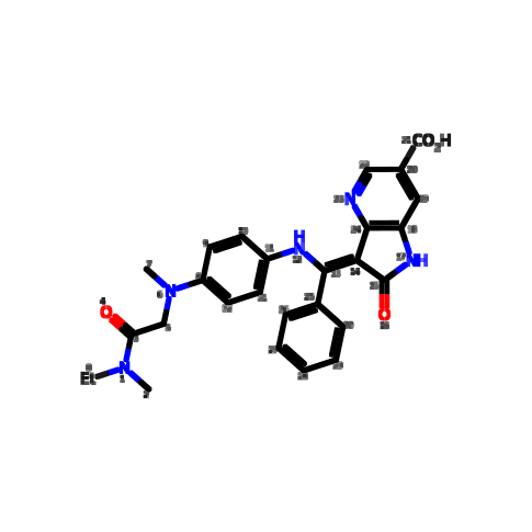 CCN(C)C(=O)CN(C)c1ccc(N/C(=C2/C(=O)Nc3cc(C(=O)O)cnc32)c2ccccc2)cc1